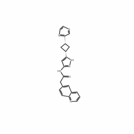 O=C(Cc1ccc2ncccc2c1)Nc1cc([C@H]2C[C@@H](c3cnccn3)C2)[nH]n1